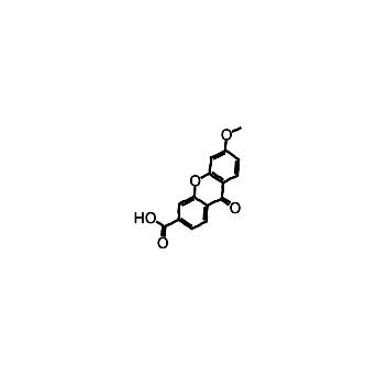 COc1ccc2c(=O)c3ccc(C(=O)O)cc3oc2c1